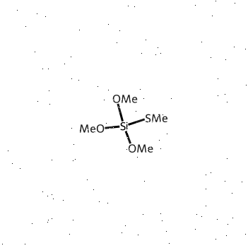 CO[Si](OC)(OC)SC